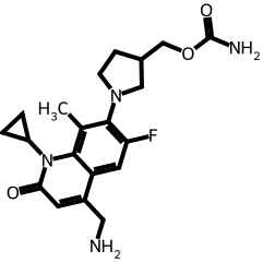 Cc1c(N2CCC(COC(N)=O)C2)c(F)cc2c(CN)cc(=O)n(C3CC3)c12